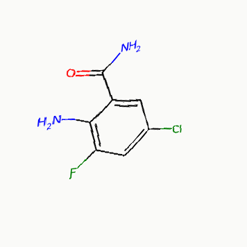 NC(=O)c1cc(Cl)cc(F)c1N